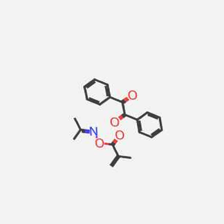 C=C(C)C(=O)ON=C(C)C.O=C(C(=O)c1ccccc1)c1ccccc1